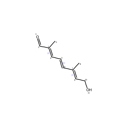 C\C(C=O)=C/C=C/C(C)=C/CO